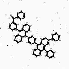 O=C(c1ccccc1)c1cccc(-c2c3ccccc3c(-c3ccc(-c4c5ccccc5c(-c5ccccc5)c5cc(-c6ccccc6)ccc45)cc3)c3ccccc23)c1